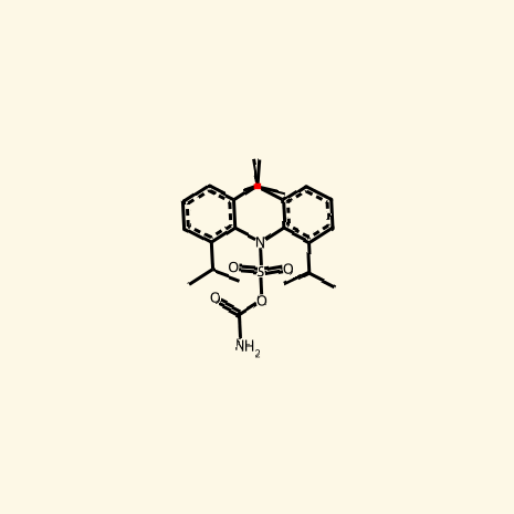 CC(C)c1cccc(C(C)C)c1N(c1c(C(C)C)cccc1C(C)C)S(=O)(=O)OC(N)=O